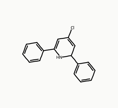 ClC1=CC(c2ccccc2)NC(c2ccccc2)=C1